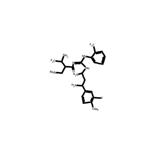 CNCC(C(=O)/N=C(/Nc1ccccc1C(F)(F)F)NC(N)CC(N)c1ccc(OC)c(F)c1)C(N)C(F)(F)F